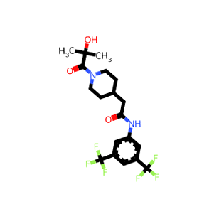 CC(C)(O)C(=O)N1CCC(CC(=O)Nc2cc(C(F)(F)F)cc(C(F)(F)F)c2)CC1